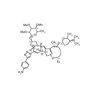 CC[C@H]1CCC[C@H](O[C@H]2CC[C@H](N(C)C)C(C)O2)[C@@H](C)C2=S=C(C[C@@H]3C2=C[C@@H]2[C@H]3C=C(n3cc(-c4ccc(N)cc4)nn3)[C@@H]3C[C@@H](O[C@@H]4OC(C)[C@H](OC)C(OC)C4OC)C[C@@H]23)O1